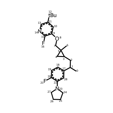 CC(CC1CC1(C)COc1cc(C(C)(C)C)cnc1F)c1ccc(F)c(N2CCCC2)c1